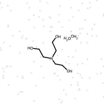 O.O.OCCN(CCO)CCO